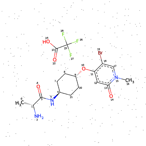 C[C@@H](N)C(=O)N[C@H]1CC[C@H](Oc2cc(=O)n(C)cc2Br)CC1.O=C(O)C(F)(F)F